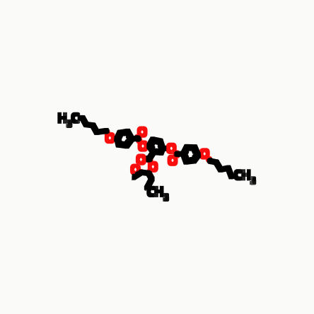 CCCCCCOc1ccc(C(=O)Oc2ccc(OC(=O)c3ccc(OCCCCCC)cc3)c(C(=O)OC(CCC)C3CO3)c2)cc1